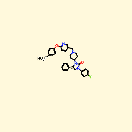 O=C(O)c1ccc(Oc2ccc(CN3CCC(N4C(=O)N(c5ccc(F)cc5)C[C@H]4c4ccccc4)CC3)cn2)cc1